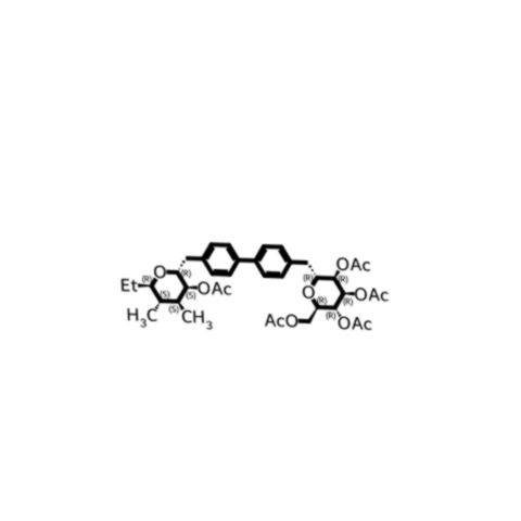 CC[C@H]1O[C@H](Cc2ccc(-c3ccc(C[C@H]4O[C@H](COC(C)=O)[C@@H](OC(C)=O)[C@H](OC(C)=O)[C@@H]4OC(C)=O)cc3)cc2)[C@@H](OC(C)=O)[C@@H](C)[C@@H]1C